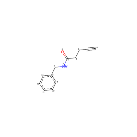 C#CCCC(=O)NCc1ccccc1